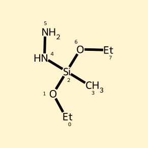 CCO[Si](C)(NN)OCC